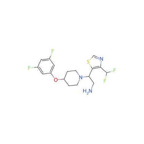 NCC(c1scnc1C(F)F)N1CCC(Oc2cc(F)cc(F)c2)CC1